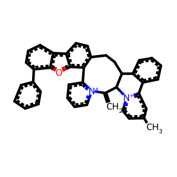 C=C1C2C(CCc3ccc4c(oc5c(-c6ccccc6)cccc54)c3-c3cccc[n+]31)c1ccccc1-c1cc(C)cc[n+]12